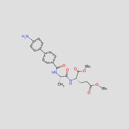 C[C@H](NC(=O)c1ccc(-c2ccc(N)cc2)cc1)C(=O)N[C@@H](CCC(=O)OC(C)(C)C)C(=O)OC(C)(C)C